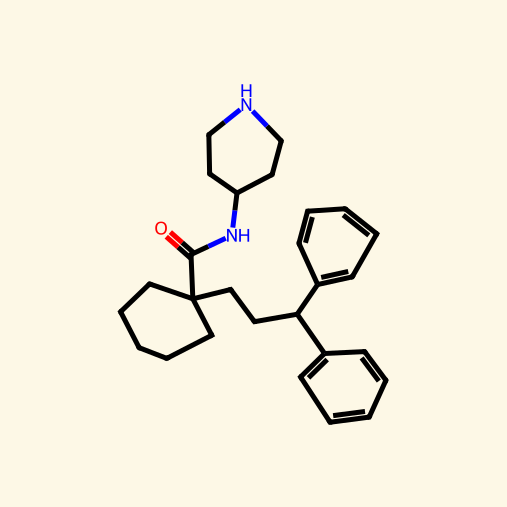 O=C(NC1CCNCC1)C1(CCC(c2ccccc2)c2ccccc2)CCCCC1